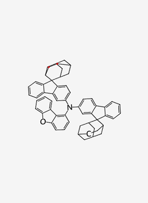 c1ccc2c(c1)-c1cc(N(c3ccc4c(c3)C3(c5ccccc5-4)C4CCC5CC(C4)CC3C5)c3cccc4oc5ccccc5c34)ccc1C21C2CCC3CC(C2)CC1C3